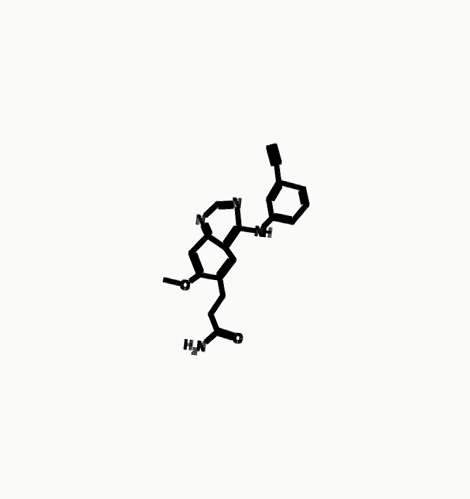 C#Cc1cccc(Nc2ncnc3cc(OC)c(CCC(N)=O)cc23)c1